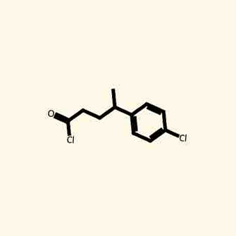 CC(CCC(=O)Cl)c1ccc(Cl)cc1